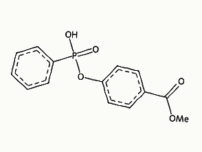 COC(=O)c1ccc(OP(=O)(O)c2ccccc2)cc1